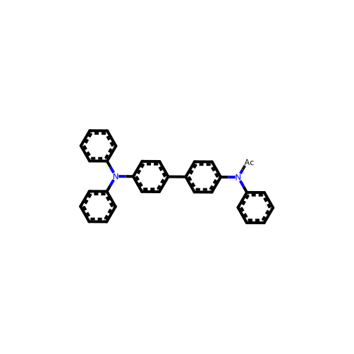 CC(=O)N(c1ccccc1)c1ccc(-c2ccc(N(c3ccccc3)c3ccccc3)cc2)cc1